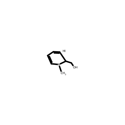 CN1C=CC=CC1CO.I